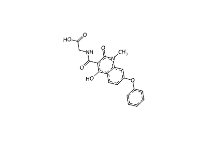 Cn1c(=O)c(C(=O)NCC(=O)O)c(O)c2ccc(Oc3ccccc3)cc21